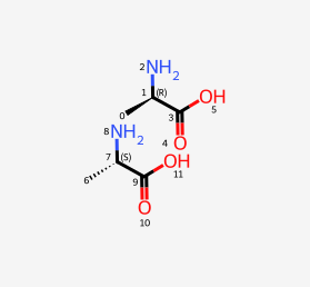 C[C@@H](N)C(=O)O.C[C@H](N)C(=O)O